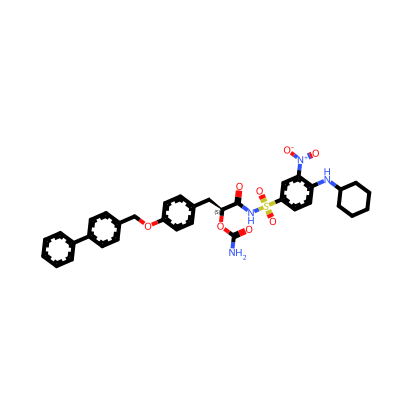 NC(=O)O[C@@H](Cc1ccc(OCc2ccc(-c3ccccc3)cc2)cc1)C(=O)NS(=O)(=O)c1ccc(NC2CCCCC2)c([N+](=O)[O-])c1